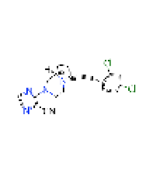 N#Cc1nccnc1N1CCN2[C@@H](CC[C@@H]2C#Cc2ccc(Cl)cc2Cl)C1